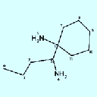 CCCC(N)C1(N)CCCCC1